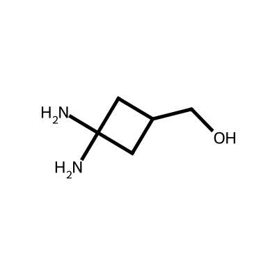 NC1(N)CC(CO)C1